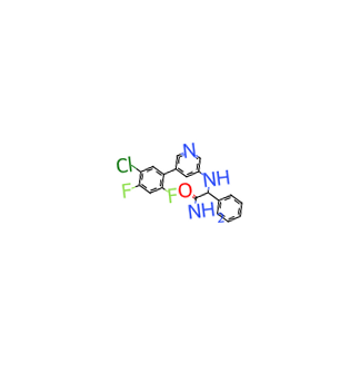 NC(=O)C(Nc1cncc(-c2cc(Cl)c(F)cc2F)c1)c1ccccc1